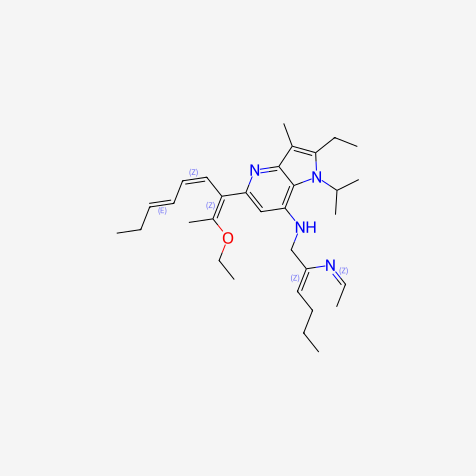 C/C=N\C(=C/CCC)CNc1cc(C(/C=C\C=C\CC)=C(/C)OCC)nc2c(C)c(CC)n(C(C)C)c12